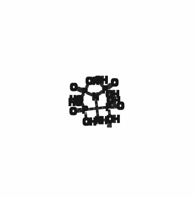 NC(N(P(=O)(O)O)P(=O)(O)O)(P(=O)(O)O)P(=O)(O)O